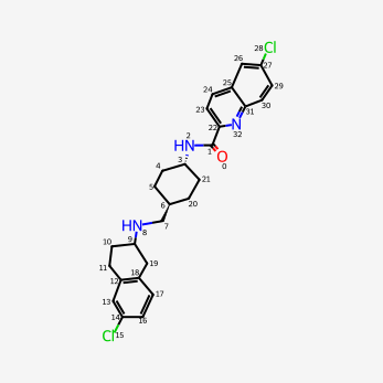 O=C(N[C@H]1CC[C@H](CNC2CCc3cc(Cl)ccc3C2)CC1)c1ccc2cc(Cl)ccc2n1